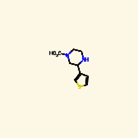 O=C(O)N1CCNC(c2ccsc2)C1